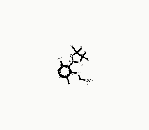 COCOc1c(C)ccc(Cl)c1B1OC(C)(C)C(C)(C)O1